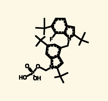 CC(C)(C)c1cc(Cn2c(C(C)(C)C)cc3ccc(C(C)(C)C)c(F)c32)c2cc(C(C)(C)C)n(COP(=O)(O)O)c2c1